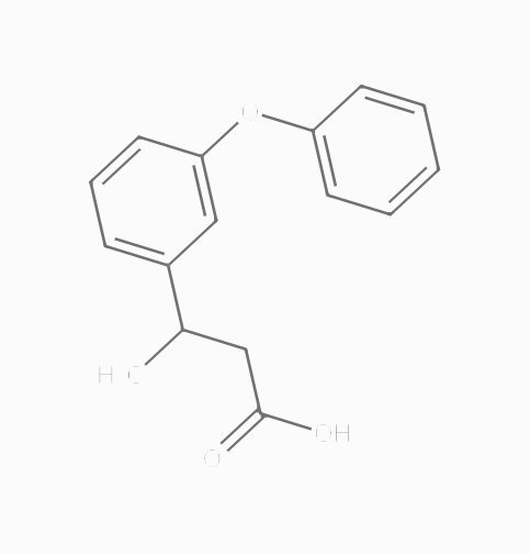 CC(CC(=O)O)c1cccc(Oc2ccccc2)c1